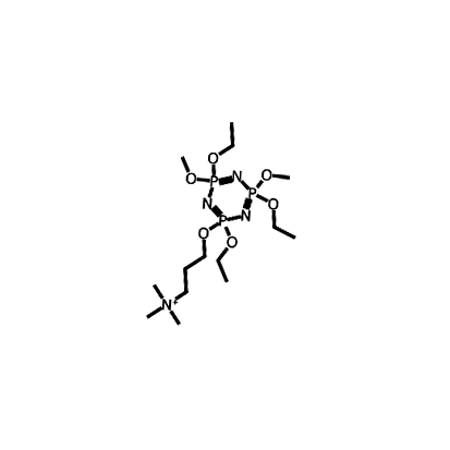 CCOP1(OC)=NP(OC)(OCC)=NP(OCC)(OCCC[N+](C)(C)C)=N1